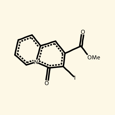 COC(=O)c1cc2ccccn2c(=O)c1I